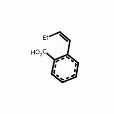 CC/C=C\c1ccccc1C(=O)O